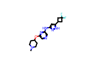 CN1CCC(Oc2cncc(Nc3cc(C4CC(F)(F)C4)[nH]n3)n2)CC1